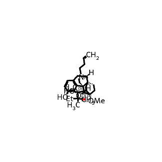 C=CCCN1CC[C@]23c4c5ccc(O)c4O[C@H]2[C@]2(OC)CC[C@@]3(C[C@@H]2[C@](C)(O)C(C)(C)CC)[C@H]1C5